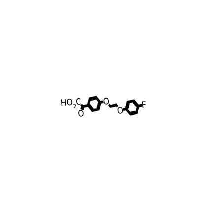 O=C(O)C(=O)c1ccc(OCCOc2ccc(F)cc2)cc1